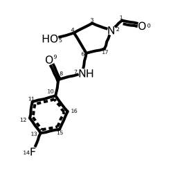 O=CN1CC(O)C(NC(=O)c2ccc(F)cc2)C1